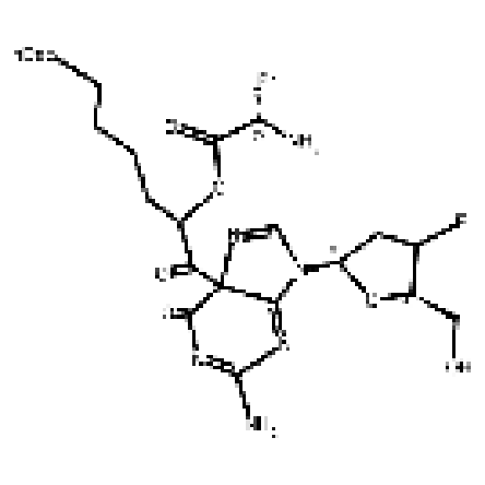 CCCCCCCCCCCCCCC(OC(=O)[C@@H](N)C(C)C)C(=O)C12N=CN([C@H]3CC(F)[C@@H](CO)O3)C1=NC(N)=NC2=O